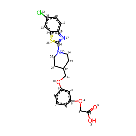 O=C(O)COc1cccc(OCC2CCN(c3nc4ccc(Cl)cc4s3)CC2)c1